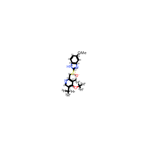 [2H]C([2H])([2H])Oc1c(C([2H])([2H])[2H])cnc(C[S@+]([O-])c2nc3cc(OC)ccc3[nH]2)c1C